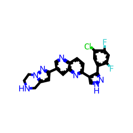 Fc1cc(F)c(-c2n[nH]cc2-c2ccc3ncc(-c4cc5n(n4)CCNC5)cc3n2)cc1Cl